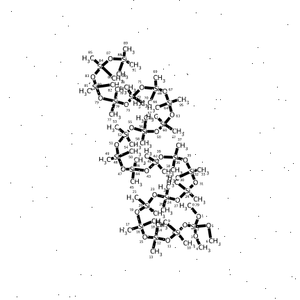 CO[Si](OC)(OC)O[Si](C)(C)O[Si](C)(C)O[Si](C)(C)O[Si](C)(C)O[Si](C)(C)O[Si](C)(C)O[Si](C)(C)O[Si](C)(C)O[Si](C)(C)O[Si](C)(C)O[Si](C)(C)O[Si](C)(C)O[Si](C)(C)O[Si](C)(C)O[Si](C)(C)O[Si](C)(C)O[Si](C)(C)O[Si](C)(C)O[Si](C)(C)O[Si](C)(C)O[Si](C)(C)C